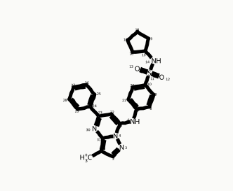 Cc1cnn2c(Nc3ccc(S(=O)(=O)NC4CCCC4)cc3)cc(-c3ccccc3)nc12